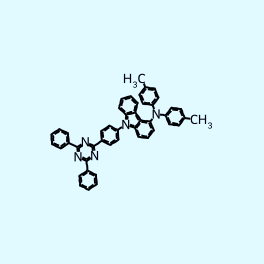 Cc1ccc(N(c2ccc(C)cc2)c2cccc3c2c2ccccc2n3-c2ccc(-c3nc(-c4ccccc4)nc(-c4ccccc4)n3)cc2)cc1